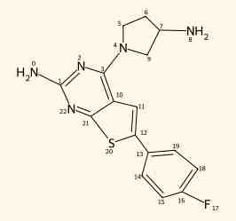 Nc1nc(N2CCC(N)C2)c2cc(-c3ccc(F)cc3)sc2n1